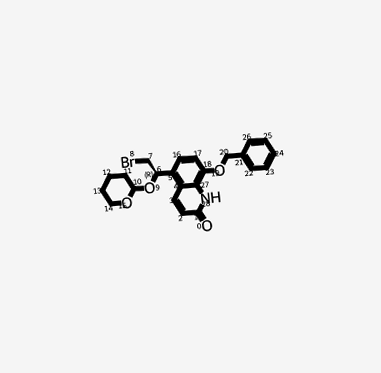 O=c1ccc2c([C@H](CBr)OC3CCCCO3)ccc(OCc3ccccc3)c2[nH]1